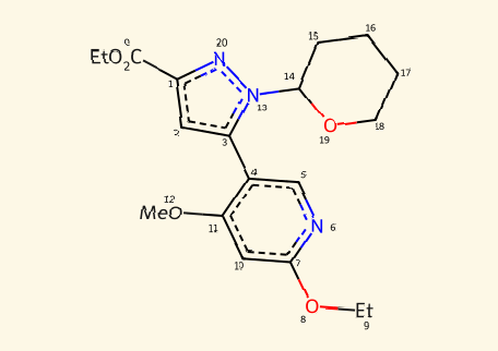 CCOC(=O)c1cc(-c2cnc(OCC)cc2OC)n(C2CCCCO2)n1